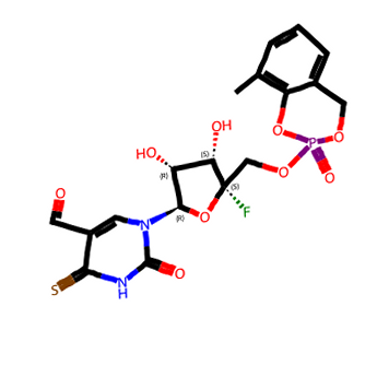 Cc1cccc2c1OP(=O)(OC[C@@]1(F)O[C@@H](n3cc(C=O)c(=S)[nH]c3=O)[C@H](O)[C@@H]1O)OC2